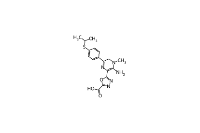 CC(C)Sc1ccc(C2=NC(c3nnc(C(=O)O)o3)=C(N)N(C)C2)cc1